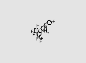 N[C@H](Cc1ccc(F)cc1)CC1Nc2cc(C(F)(F)F)cc(C(F)(F)F)c2N1